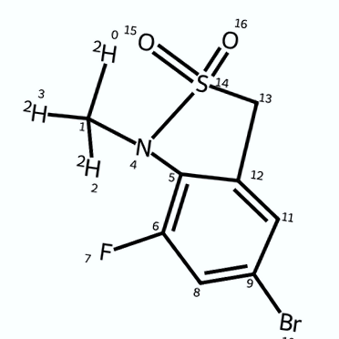 [2H]C([2H])([2H])N1c2c(F)cc(Br)cc2CS1(=O)=O